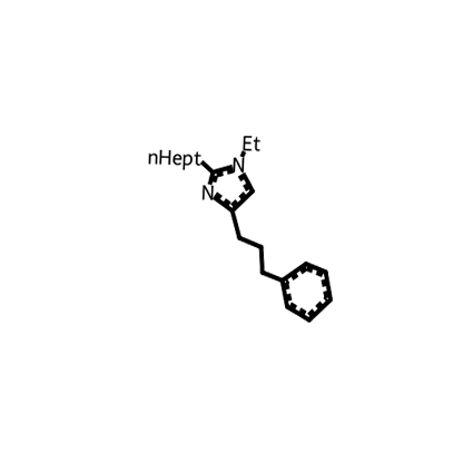 CCCCCCCc1nc(CCCc2ccccc2)cn1CC